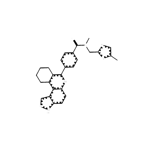 Cc1c[nH]c(CN(C)C(=O)c2ccc(-c3nc4ccc5[nH]ncc5c4c4c3CCCC4)cc2)n1